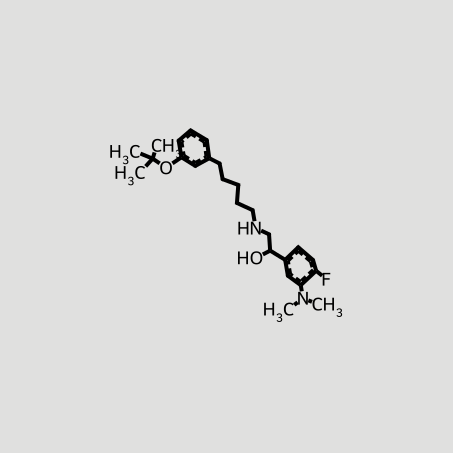 CN(C)c1cc(C(O)CNCCCCCc2cccc(OC(C)(C)C)c2)ccc1F